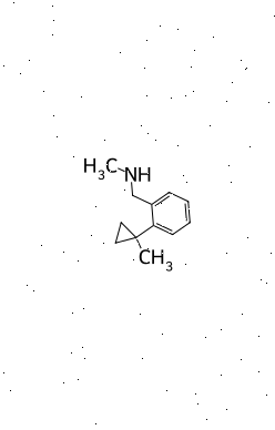 CNCc1ccccc1C1(C)CC1